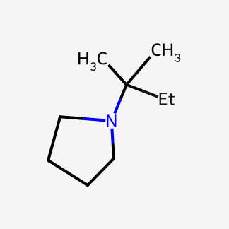 CCC(C)(C)N1CCCC1